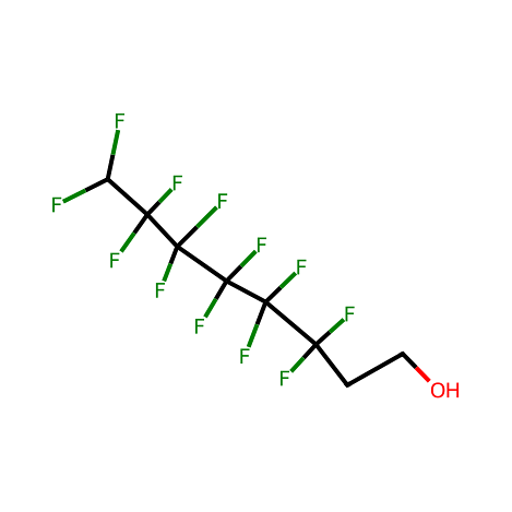 OCCC(F)(F)C(F)(F)C(F)(F)C(F)(F)C(F)(F)C(F)F